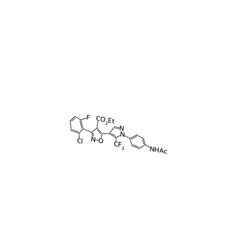 CCOC(=O)c1c(-c2c(F)cccc2Cl)noc1-c1cnn(-c2ccc(NC(C)=O)cc2)c1C(F)(F)F